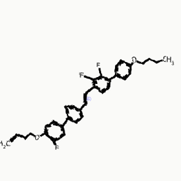 C=CCCOc1ccc(-c2ccc(/C=C/c3ccc(-c4ccc(OCCCC)cc4)c(F)c3F)cc2)cc1F